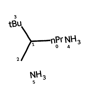 CCCC(C)C(C)(C)C.N.N